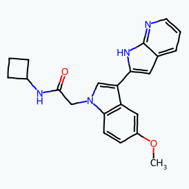 COc1ccc2c(c1)c(-c1cc3cccnc3[nH]1)cn2CC(=O)NC1CCC1